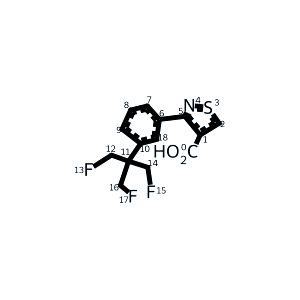 O=C(O)c1csnc1-c1cccc(C(CF)(CF)CF)c1